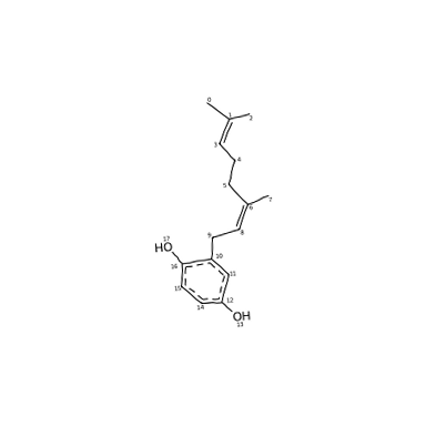 CC(C)=CCCC(C)=CCc1cc(O)ccc1O